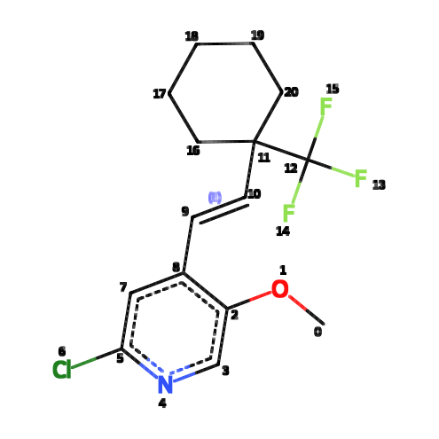 COc1cnc(Cl)cc1/C=C/C1(C(F)(F)F)CCCCC1